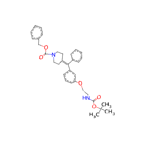 CC(C)(C)OC(=O)NCCOc1cccc(C(=C2CCN(C(=O)OCc3ccccc3)CC2)c2ccccc2)c1